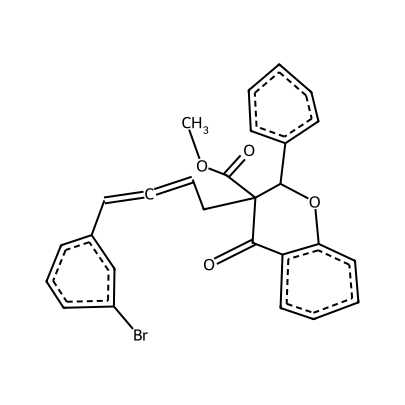 COC(=O)C1(CC=C=Cc2cccc(Br)c2)C(=O)c2ccccc2OC1c1ccccc1